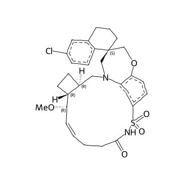 CO[C@H]1C=CCCC(=O)NS(=O)(=O)c2ccc3c(c2)N(C[C@@H]2CC[C@H]21)C[C@@]1(CCCc2cc(Cl)ccc21)CO3